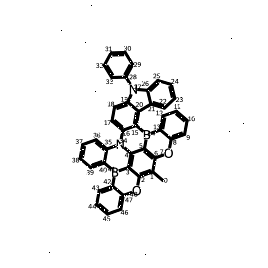 Cc1c2c3c4c5c1Oc1ccccc1B5c1c(ccc5c1c1ccccc1n5-c1ccccc1)N4c1ccccc1B3c1ccccc1O2